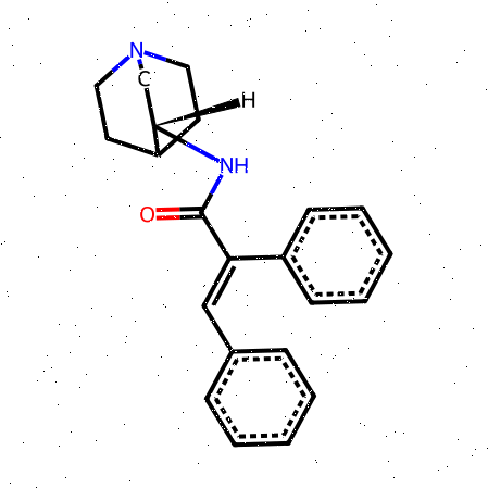 O=C(N[C@H]1CN2CCC1CC2)/C(=C/c1ccccc1)c1ccccc1